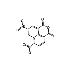 O=C1OC(=O)c2cc([N+](=O)[O-])cc3c([N+](=O)[O-])ccc1c23